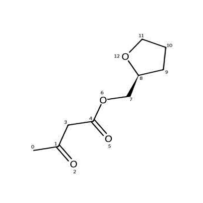 CC(=O)CC(=O)OC[C@@H]1CCCO1